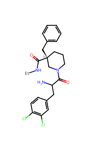 CCNC(=O)[C@]1(Cc2ccccc2)CCCN(C(=O)C(N)Cc2ccc(Cl)c(Cl)c2)C1